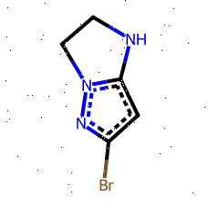 Brc1cc2n(n1)CCN2